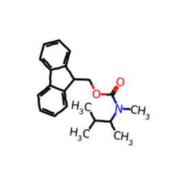 CC(C)C(C)N(C)C(=O)OCC1c2ccccc2-c2ccccc21